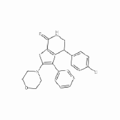 O=C1NCC(c2ccc(Cl)cc2)c2c1sc(N1CCOCC1)c2-c1cccnc1